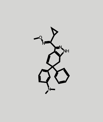 CON=C(c1n[nH]c2c1C=CC(c1ccccc1)(c1cccc(N(C)C)c1)C2)C1CC1